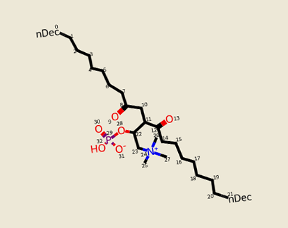 CCCCCCCCCCCCCCCCCC(=O)CC(C(=O)CCCCCCCCCCCCCCCCC)C(C[N+](C)(C)C)OP(=O)([O-])O